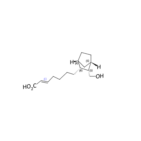 O=C(O)/C=C/CCCC[C@@H]1[C@@H]2CC[C@@H](C2)[C@@H]1CO